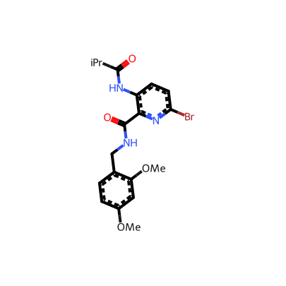 COc1ccc(CNC(=O)c2nc(Br)ccc2NC(=O)C(C)C)c(OC)c1